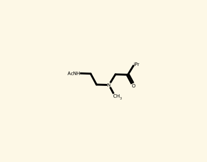 CC(=O)NCCN(C)CC(=O)C(C)C